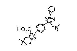 CN(C)Cc1nc(N2CCCC2)sc1-c1ccc(-c2sc3c(c2C(=O)O)CC(C)(C)CC3)cc1